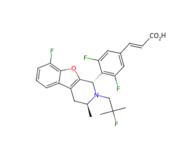 C[C@H]1Cc2c(oc3c(F)cccc23)[C@H](c2c(F)cc(/C=C/C(=O)O)cc2F)N1CC(C)(C)F